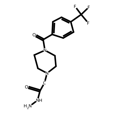 NNC(=O)CN1CCN(C(=O)c2ccc(C(F)(F)F)cc2)CC1